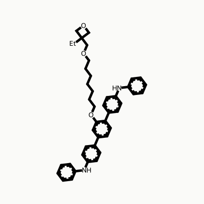 CCC1(COCCCCCCCOc2cc(-c3ccc(Nc4ccccc4)cc3)ccc2-c2ccc(Nc3ccccc3)cc2)COC1